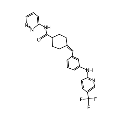 O=C(Nc1cccnn1)C1CCC(=Cc2cccc(Nc3ccc(C(F)(F)F)cn3)c2)CC1